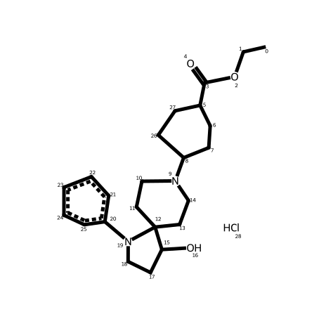 CCOC(=O)C1CCC(N2CCC3(CC2)C(O)CCN3c2ccccc2)CC1.Cl